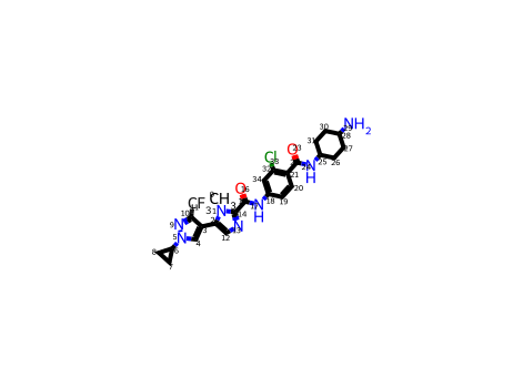 Cn1c(-c2cn(C3CC3)nc2C(F)(F)F)cnc1C(=O)Nc1ccc(C(=O)NC2CCC(N)CC2)c(Cl)c1